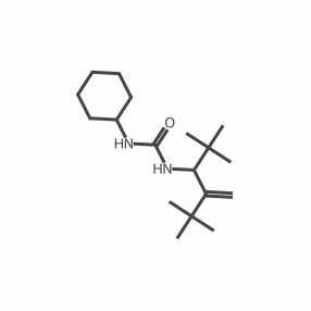 C=C(C(NC(=O)NC1CCCCC1)C(C)(C)C)C(C)(C)C